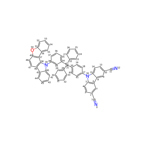 N#Cc1ccc2c(c1)c1cc(C#N)ccc1n2-c1ccc([Si](c2ccccc2)(c2ccccc2)c2cccc(-n3c4ccccc4c4ccc5oc6ccccc6c5c43)c2)cc1